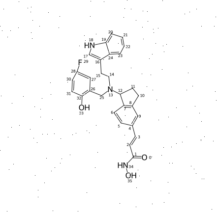 O=C(C=Cc1ccc2c(c1)CCC2N(CCc1c[nH]c2ccccc12)Cc1cc(F)ccc1O)NO